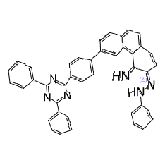 N=C1/C(=N\Nc2ccccc2)C=Cc2ccc3ccc(-c4ccc(-c5nc(-c6ccccc6)nc(-c6ccccc6)n5)cc4)cc3c21